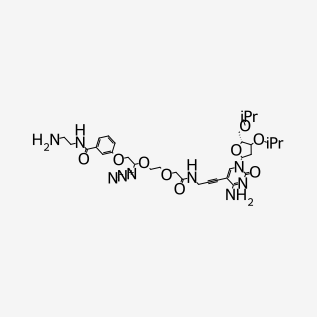 CC(C)OC[C@H]1O[C@@H](n2cc(C#CCNC(=O)COCCOC(COc3cccc(C(=O)NCCN)c3)N=[N+]=[N-])c(N)nc2=O)CC1OC(C)C